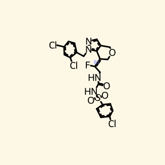 O=C(NC/C(F)=C1\COCc2cnn(Cc3ccc(Cl)cc3Cl)c21)NS(=O)(=O)c1ccc(Cl)cc1